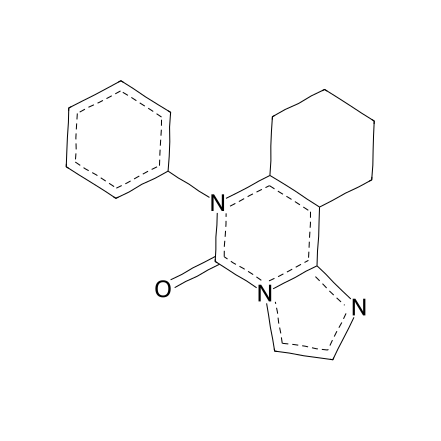 O=c1n(-c2ccccc2)c2c(c3nccn13)CCCC2